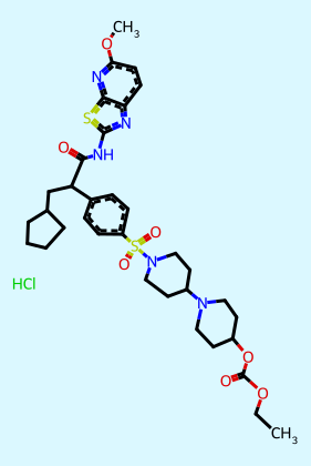 CCOC(=O)OC1CCN(C2CCN(S(=O)(=O)c3ccc(C(CC4CCCC4)C(=O)Nc4nc5ccc(OC)nc5s4)cc3)CC2)CC1.Cl